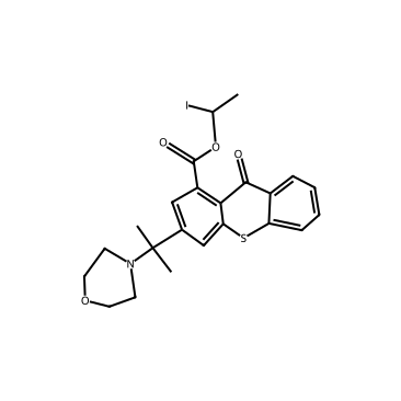 CC(I)OC(=O)c1cc(C(C)(C)N2CCOCC2)cc2sc3ccccc3c(=O)c12